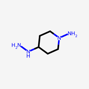 NNC1CCN(N)CC1